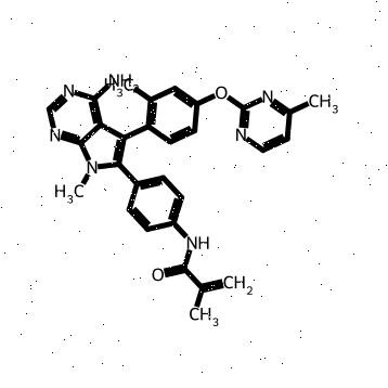 C=C(C)C(=O)Nc1ccc(-c2c(-c3ccc(Oc4nccc(C)n4)cc3C)c3c(N)ncnc3n2C)cc1